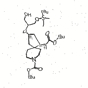 CC(C)(C)OC(=O)N[C@@H]1C[C@H](OC(CO)COS(C)(C)C(C)(C)C)CC12CCN(C(=O)OC(C)(C)C)CC2